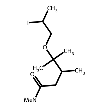 CNC(=O)CC(C)C(C)(C)OCC(C)I